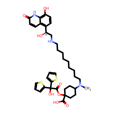 CN(CCCCCCCCCNC[C@@H](O)c1ccc(O)c2[nH]c(=O)ccc12)C1CCC(OC(=O)C(O)(c2cccs2)c2cccs2)(C(=O)O)CC1